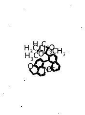 CC(=O)[C@@H](OC(C)(C)C)c1c(C)cc2ccccc2c1-c1ccc2c3c(cc[n+]([O-])c13)CCO2